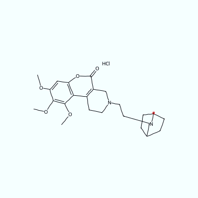 COc1cc2oc(=O)c3c(c2c(OC)c1OC)CCN(CCN1CC2CCC(CC2)C1)C3.Cl